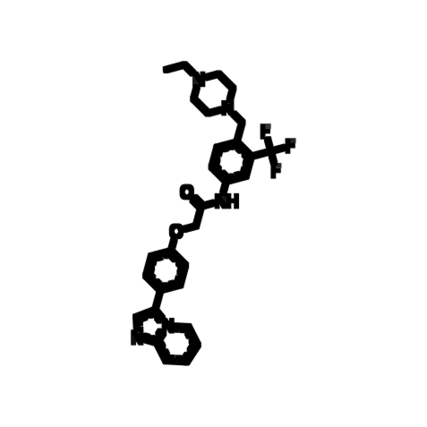 CCN1CCN(Cc2ccc(NC(=O)COc3ccc(-c4cnc5ccccn45)cc3)cc2C(F)(F)F)CC1